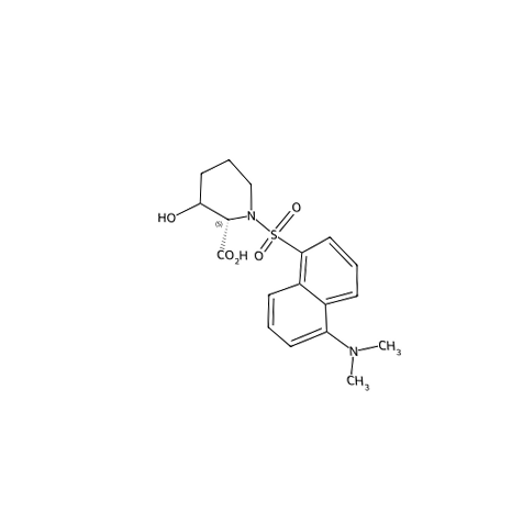 CN(C)c1cccc2c(S(=O)(=O)N3CCCC(O)[C@H]3C(=O)O)cccc12